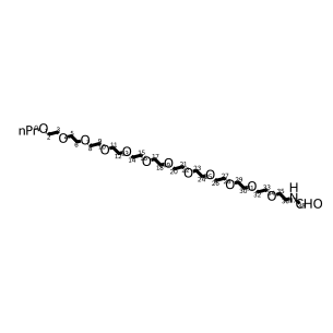 CCCOCCOCCOCCOCCOCCOCCOCCOCCOCCOCCOCCOCCNC=O